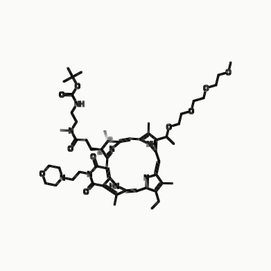 CCC1=C(C)c2cc3[nH]c(cc4nc(c5c6[nH]c(cc1n2)c(C)c6C(=O)N(CCN1CCOCC1)C5=O)[C@@H](CCC(=O)N(C)CCNC(=O)OC(C)(C)C)[C@@H]4C)c(C)c3C(C)OCCOCCOCCOC